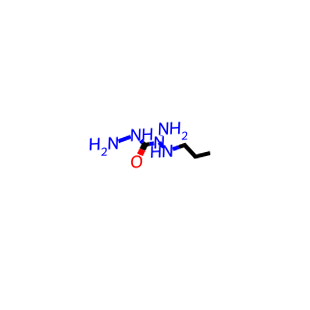 CCCNN(N)C(=O)NN